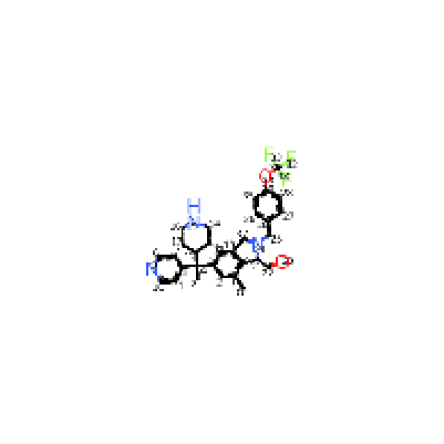 Cc1cc(C(C)(c2ccncc2)C2CCNCC2)cc2c1C(C=O)N(Cc1ccc(OC(F)(F)F)cc1)C2